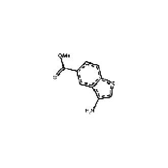 COC(=O)c1ccc2scc(N)c2c1